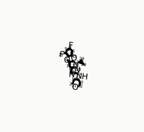 O=c1c(Oc2ccc(F)cc2F)cc2cnc(NC3CCOCC3)nc2n1C1CC1